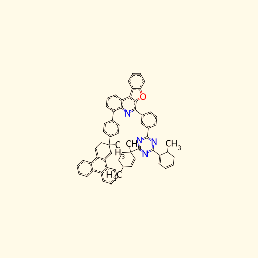 CC1C=CC(C)(c2nc(C3=CC=CCC3C)nc(-c3cccc(-c4nc5c(-c6ccc(C7(C)C=c8c(c9ccccc9c9ccccc89)=CC7)cc6)cccc5c5c4oc4ccccc45)c3)n2)CC1